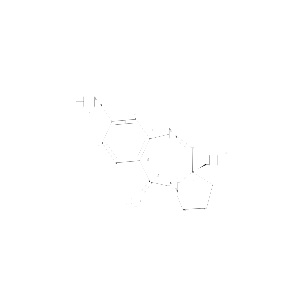 Nc1ccc2c(c1)N=C[C@@H]1CCCN1C2=O